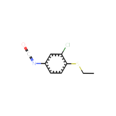 CCSc1ccc(N=C=O)cc1Cl